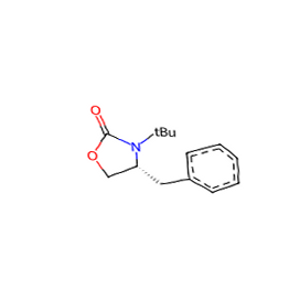 CC(C)(C)N1C(=O)OC[C@H]1Cc1ccccc1